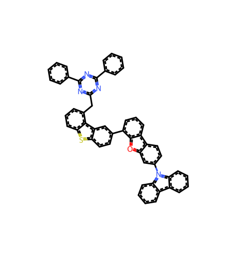 c1ccc(-c2nc(Cc3cccc4sc5ccc(-c6cccc7c6oc6cc(-n8c9ccccc9c9ccccc98)ccc67)cc5c34)nc(-c3ccccc3)n2)cc1